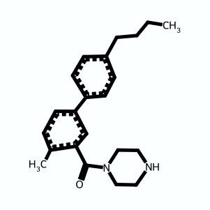 CCCCc1ccc(-c2ccc(C)c(C(=O)N3CCNCC3)c2)cc1